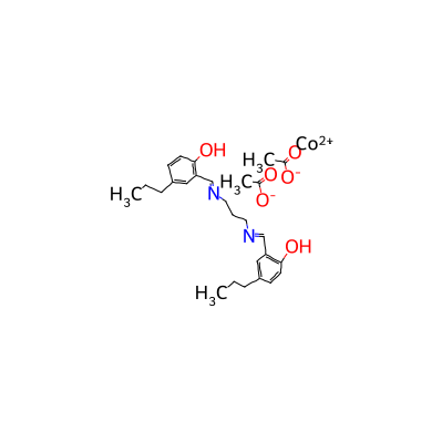 CC(=O)[O-].CC(=O)[O-].CCCc1ccc(O)c(C=NCCCN=Cc2cc(CCC)ccc2O)c1.[Co+2]